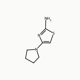 Nc1nc(N2CCCC2)cs1